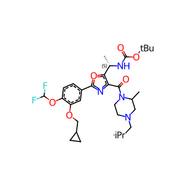 C[C](C)CN1CCN(C(=O)c2nc(-c3ccc(OC(F)F)c(OCC4CC4)c3)oc2[C@H](C)NC(=O)OC(C)(C)C)C(C)C1